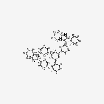 c1ccc(-c2cc(-c3cccc(-c4c(-c5ccccc5)nc5ccccn45)c3)cc(-c3cccc(-n4c(-c5ccccc5)nc5ccccc54)c3)c2)cc1